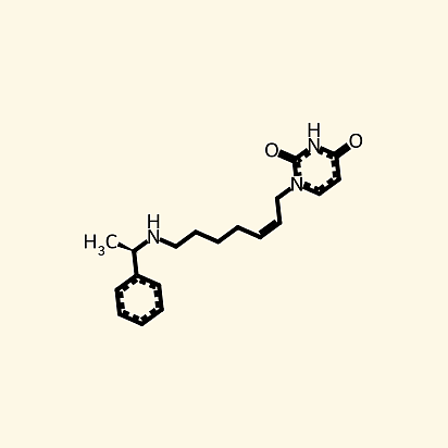 C[C@@H](NCCCC/C=C\Cn1ccc(=O)[nH]c1=O)c1ccccc1